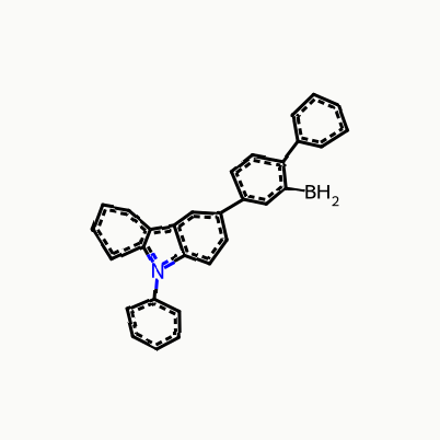 Bc1cc(-c2ccc3c(c2)c2ccccc2n3-c2ccccc2)ccc1-c1ccccc1